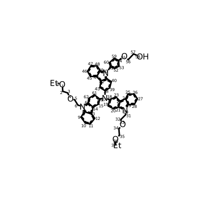 CCOCCOCCn1c2ccccc2c2cc(N(c3ccc4c(c3)c3ccccc3n4CCOCCOCC)c3ccc4c(c3)c3ccccc3n4-c3ccc(OCCO)cc3)ccc21